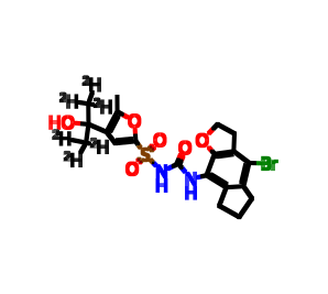 [2H]C([2H])([2H])C(O)(c1cc(S(=O)(=O)NC(=O)Nc2c3c(c(Br)c4c2OCC4)CCC3)oc1C)C([2H])([2H])[2H]